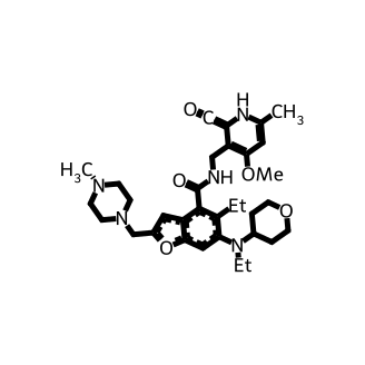 CCc1c(N(CC)C2CCOCC2)cc2oc(CN3CCN(C)CC3)cc2c1C(=O)NCC1=C(OC)C=C(C)NC1=C=O